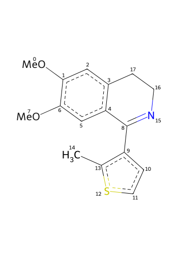 COc1cc2c(cc1OC)C(c1ccsc1C)=NCC2